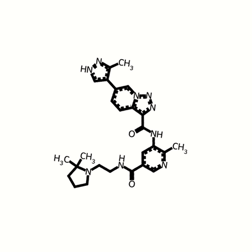 Cc1ncc(C(=O)NCCN2CCCC2(C)C)cc1NC(=O)c1nnn2cc(-c3c[nH]nc3C)ccc12